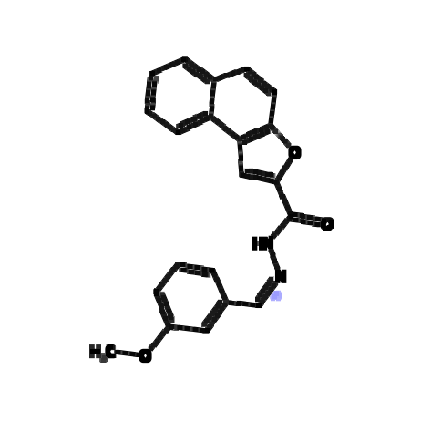 COc1cccc(/C=N\NC(=O)c2cc3c(ccc4ccccc43)o2)c1